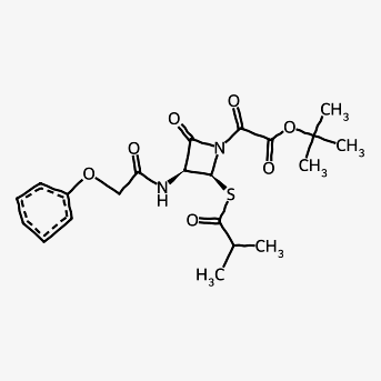 CC(C)C(=O)S[C@H]1[C@@H](NC(=O)COc2ccccc2)C(=O)N1C(=O)C(=O)OC(C)(C)C